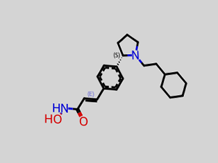 O=C(/C=C/c1ccc([C@@H]2CCCN2CCC2CCCCC2)cc1)NO